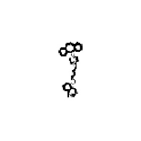 c1ccc2c(c1)CCc1ccccc1C2N1CCN(CCCCOc2cccc3ncccc23)CC1